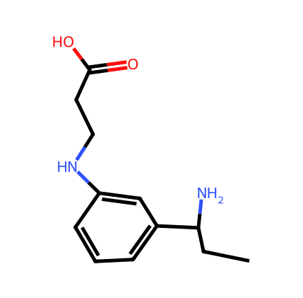 CCC(N)c1cccc(NCCC(=O)O)c1